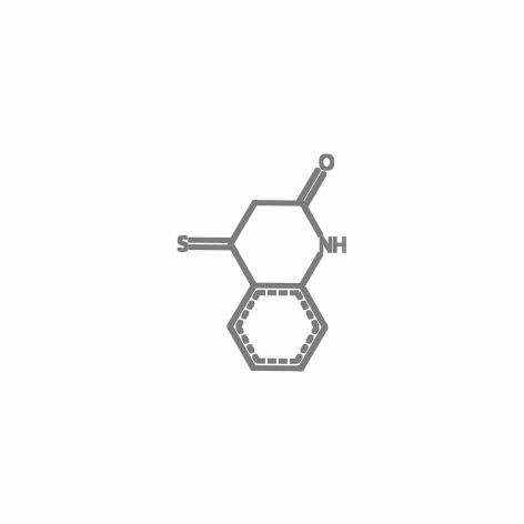 O=C1CC(=S)c2ccccc2N1